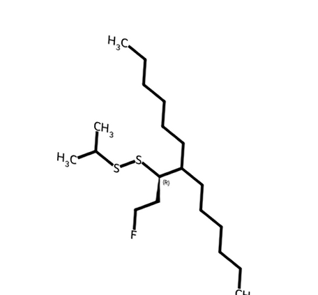 CCCCCCC(CCCCCC)[C@@H](CCF)SSC(C)C